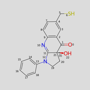 O=C1c2cc(CS)ccc2N=C2N(c3ccccc3)CC[C@@]12O